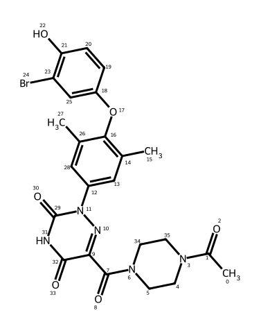 CC(=O)N1CCN(C(=O)c2nn(-c3cc(C)c(Oc4ccc(O)c(Br)c4)c(C)c3)c(=O)[nH]c2=O)CC1